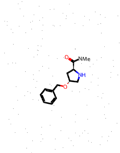 CNC(=O)[C@@H]1C[C@@H](OCc2ccccc2)CN1